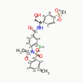 CCS(=O)(=O)c1ccc([C@H](CO)NC(=O)c2ccc(N3[C@H](C)Oc4ccc(C)cc4S3(=O)=O)c(F)c2)cc1